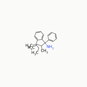 CCC(C)c1ccccc1C(N)(c1ccccc1)C(C)CC